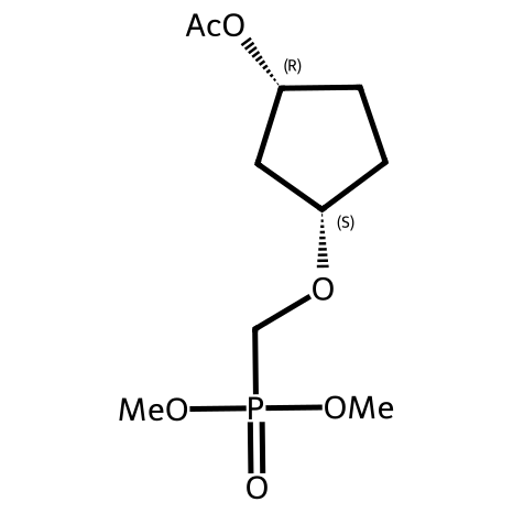 COP(=O)(CO[C@H]1CC[C@@H](OC(C)=O)C1)OC